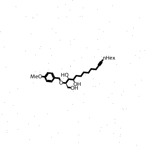 CCCCCCC#CCCCCCC[C@@H](O)[C@@H](O)[C@@H](CO)OCc1ccc(OC)cc1